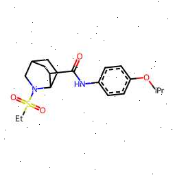 CCS(=O)(=O)N1CC2CCC1C(C(=O)Nc1ccc(OC(C)C)cc1)C2